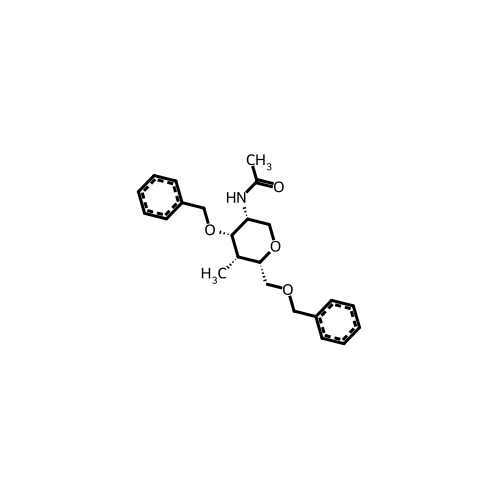 CC(=O)N[C@@H]1CO[C@H](COCc2ccccc2)[C@H](C)[C@@H]1OCc1ccccc1